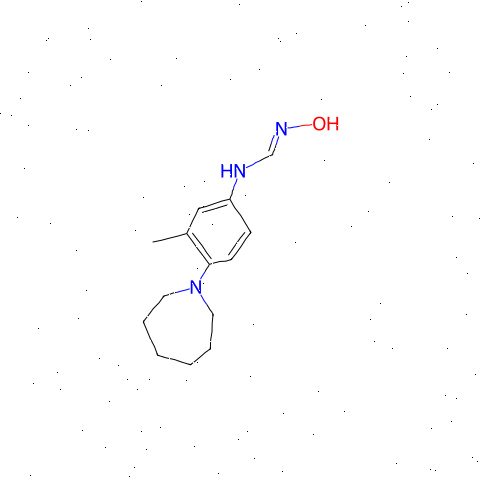 Cc1cc(N/C=N/O)ccc1N1CCCCCC1